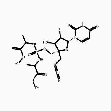 C=C(OC(C)C)C(C)NP(=O)(NC(C)C(=O)OC(C)C)OC[C@@]1(CN=[N+]=[N-])O[C@@H](n2ccc(=O)[nH]c2=O)[C@H](F)[C@@H]1O